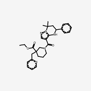 CCOC(=O)C1(Cc2ccccn2)CCCN(C(=O)c2cnn3c2NC(c2ccccc2)CC3(C)C)C1